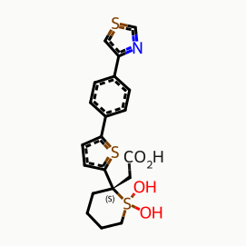 O=C(O)C[C@]1(c2ccc(-c3ccc(-c4cscn4)cc3)s2)CCCCS1(O)O